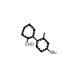 Cc1cc(C(C)(C)C)ccc1-c1ccccc1C=O